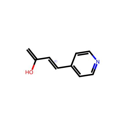 C=C(O)/C=C/c1ccncc1